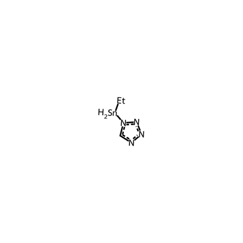 C[CH2][SnH2][n]1cnnn1